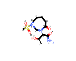 C[C@@H](O)[C@@H](C(N)=O)N1CN(S(C)(=O)=O)CCCCC1=O